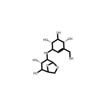 OCC1=CC(NC2C3OCC(O3)C(O)[C@@H]2O)[C@H](O)C(O)[C@@H]1O